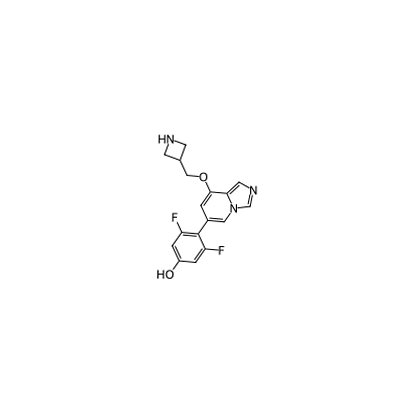 Oc1cc(F)c(-c2cc(OCC3CNC3)c3cncn3c2)c(F)c1